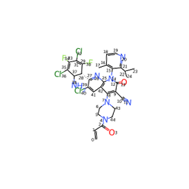 C=CC(=O)N1CCN(c2c(C#N)c(=O)n(-c3c(C)ccnc3C(C)C)c3nc([C@H]4C(F)=C(Cl)C(F)=C(Cl)C4N)c(Cl)cc23)CC1